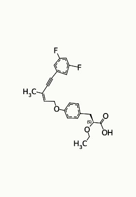 CCO[C@@H](Cc1ccc(OCC=C(C)C#Cc2cc(F)cc(F)c2)cc1)C(=O)O